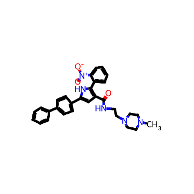 CN1CCN(CCNC(=O)c2cc(-c3ccc(-c4ccccc4)cc3)[nH]c2-c2ccccc2[N+](=O)[O-])CC1